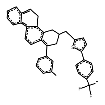 Cc1cccc(C2=c3ccc4c(c3CC(Cc3ccc(-c5ccc(C(F)(F)F)cc5)s3)C2)CC=c2ccccc2=4)c1